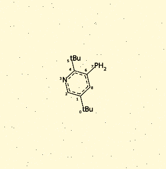 CC(C)(C)c1cnc(C(C)(C)C)c(P)c1